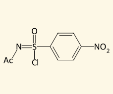 CC(=O)N=S(=O)(Cl)c1ccc([N+](=O)[O-])cc1